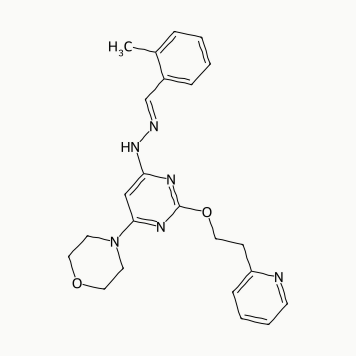 Cc1ccccc1C=NNc1cc(N2CCOCC2)nc(OCCc2ccccn2)n1